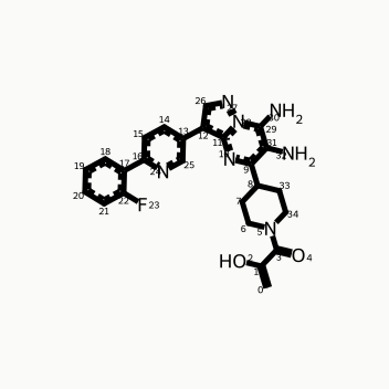 C=C(O)C(=O)N1CCC(c2nc3c(-c4ccc(-c5ccccc5F)nc4)cnn3c(N)c2N)CC1